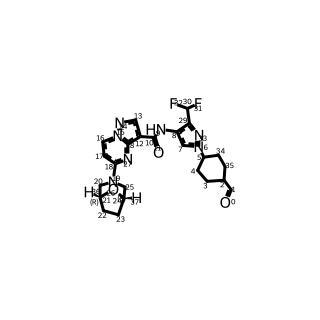 O=CC1CCC(n2cc(NC(=O)c3cnn4ccc(N5C[C@H]6CC[C@@H](C5)O6)nc34)c(C(F)F)n2)CC1